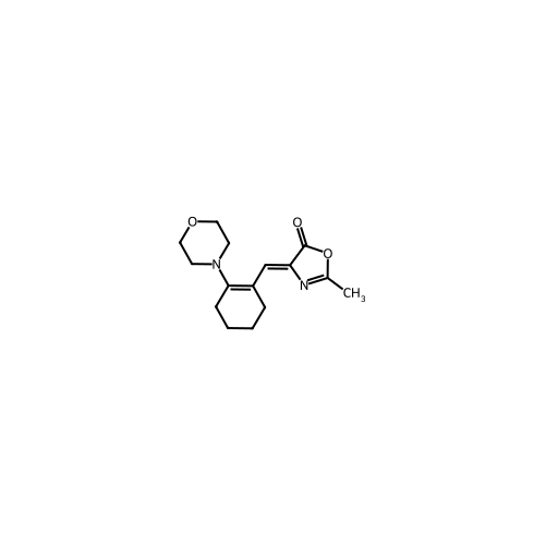 CC1=N/C(=C\C2=C(N3CCOCC3)CCCC2)C(=O)O1